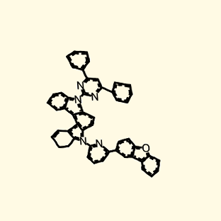 C1=Cc2c(n(-c3cccc(-c4ccc5oc6ccccc6c5c4)n3)c3ccc4c(c5ccccc5n4-c4nc(-c5ccccc5)cc(-c5ccccc5)n4)c23)CC1